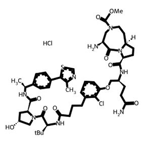 COC(=O)N1CC[C@H]2CC[C@@H](C(=O)N[C@@H](CCC(N)=O)COc3cccc(CCCC(=O)N[C@H](C(=O)N4C[C@H](O)C[C@H]4C(=O)N[C@@H](C)c4ccc(-c5scnc5C)cc4)C(C)(C)C)c3Cl)N2C(=O)[C@@H](N)C1.Cl